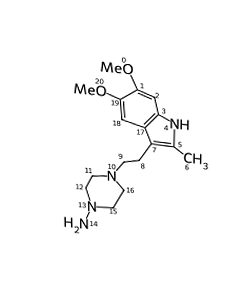 COc1cc2[nH]c(C)c(CCN3CCN(N)CC3)c2cc1OC